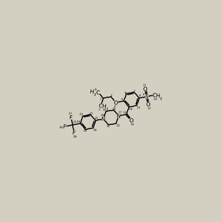 CC(C)COc1ccc(S(C)(=O)=O)cc1C(=O)N1CCN(c2ccc(C(F)(F)F)cc2)CC1